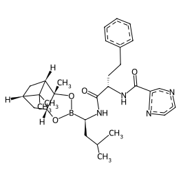 CC(C)C[C@H](NC(=O)[C@H](CCc1ccccc1)NC(=O)c1cnccn1)B1O[C@@H]2C[C@@H]3C[C@@H](C3(C)C)[C@]2(C)O1